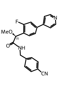 CO[C@H](C(=O)NCc1ccc(C#N)cc1)c1ccc(-c2ccncc2)cc1F